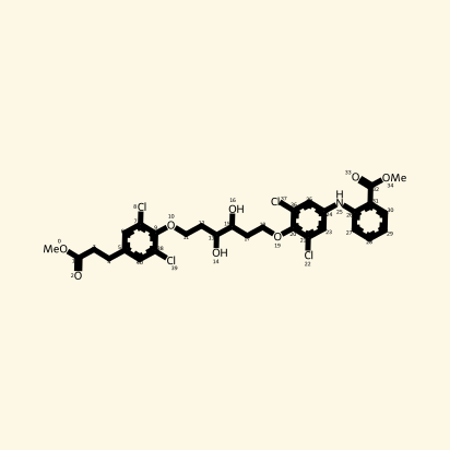 COC(=O)CCc1cc(Cl)c(OCCC(O)C(O)CCOc2c(Cl)cc(Nc3ccccc3C(=O)OC)cc2Cl)c(Cl)c1